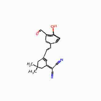 CC1(C)CC(/C=C/c2ccc(O)c(C=O)c2)=CC(=C(C#N)C#N)C1